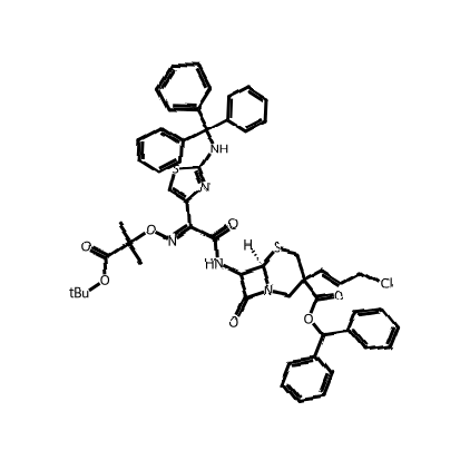 CC(C)(C)OC(=O)C(C)(C)ON=C(C(=O)NC1C(=O)N2CC(C=CCCl)(C(=O)OC(c3ccccc3)c3ccccc3)CS[C@H]12)c1csc(NC(c2ccccc2)(c2ccccc2)c2ccccc2)n1